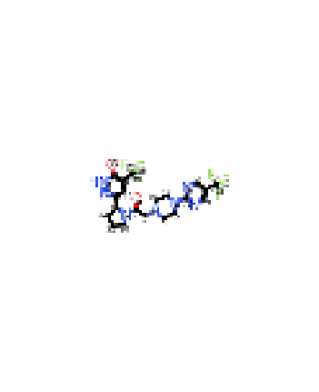 O=C(CN1CCN(c2ncc(C(F)(F)F)cn2)CC1)N1CCCC1c1cc(C(F)(F)F)c(=O)[nH]n1